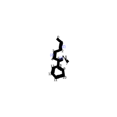 C\C=C/C=C\C(=N\C)c1ccccc1